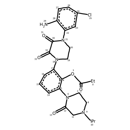 CCC(=O)Oc1c(N2CCN(C(C)C)CC2=O)cccc1N1CCN(c2cc(Cl)ccc2N)C(=O)C1=O